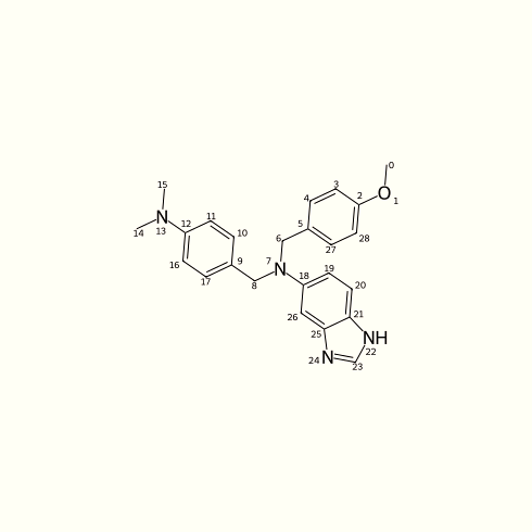 COc1ccc(CN(Cc2ccc(N(C)C)cc2)c2ccc3[nH]cnc3c2)cc1